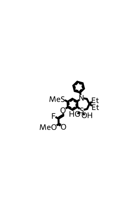 CCC1(CC)CN(c2ccccc2)c2cc(SC)c(O/C=C(\F)C(=O)OC)cc2S(O)(O)C1